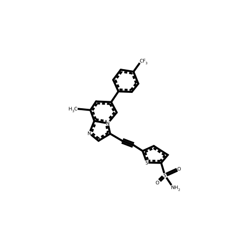 Cc1cc(-c2ccc(C(F)(F)F)cc2)cn2c(C#Cc3ccc(S(N)(=O)=O)s3)cnc12